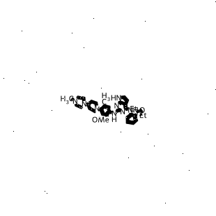 CCP(=O)(CC)c1ccccc1Nc1nc(Nc2cc(C)c(N3CCC(N4CCN(C)CC4)CC3)cc2OC)nc2[nH]ccc12